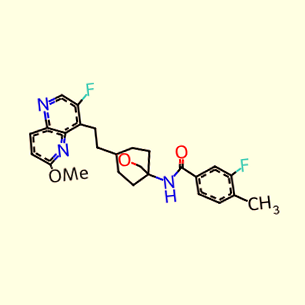 COc1ccc2ncc(F)c(CCC34CCC(NC(=O)c5ccc(C)c(F)c5)(CC3)CO4)c2n1